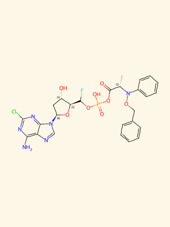 C[C@@H](C(=O)OP(=O)(O)OC(F)[C@H]1O[C@@H](n2cnc3c(N)nc(Cl)nc32)C[C@@H]1O)N(OCc1ccccc1)c1ccccc1